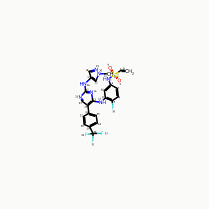 C=CS(=O)(=O)Nc1ccc(F)c(Nc2nc(Nc3cnn(C)c3)ncc2-c2ccc(C(F)(F)F)cc2)c1